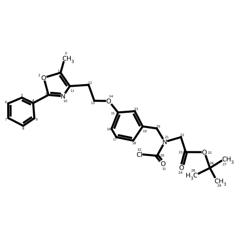 Cc1oc(-c2ccccc2)nc1CCOc1cccc(CN(CC(=O)OC(C)(C)C)C(=O)Cl)c1